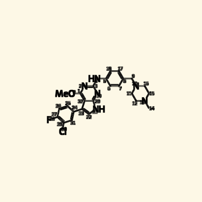 COc1nc(Nc2ccc(CN3CCN(C)CC3)cc2)nc2[nH]cc(-c3ccc(F)c(Cl)c3)c12